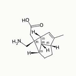 CC1=C[C@@H]2[C@@H]3[C@H]1CC[C@@H]3[C@]2(CN)CC(=O)O